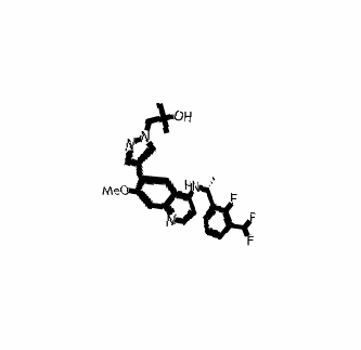 COc1cc2nccc(N[C@H](C)c3cccc(C(F)F)c3F)c2cc1-c1cnn(CC(C)(C)O)c1